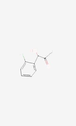 CCC(=O)C(O)c1ccccc1Cl